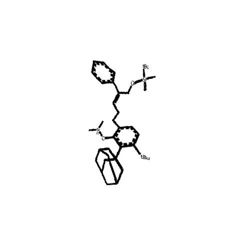 C[SiH](C)Oc1c(CC/C=C(\CO[Si](C)(C)C(C)(C)C)c2ccccc2)ccc(C(C)(C)C)c1C12CC3CC(CC(C3)C1)C2